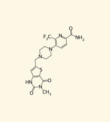 Cn1c(=O)[nH]c2cc(CN3CCN(c4ccc(C(N)=O)nc4C(F)(F)F)CC3)sc2c1=O